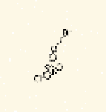 CN1C(=O)C(c2ccc(OCCCCCBr)cc2)Sc2cc(Cl)ccc21